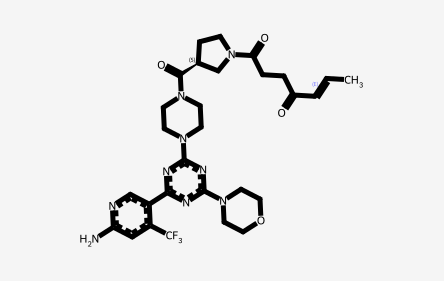 C/C=C/C(=O)CCC(=O)N1CC[C@H](C(=O)N2CCN(c3nc(-c4cnc(N)cc4C(F)(F)F)nc(N4CCOCC4)n3)CC2)C1